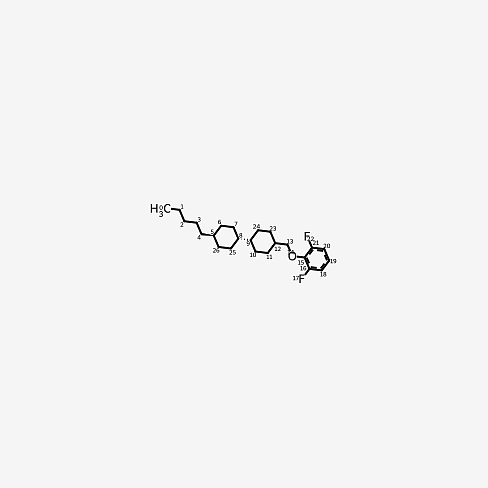 CCCCC[C@H]1CC[C@H](C2CCC(COc3c(F)cccc3F)CC2)CC1